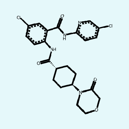 O=C(Nc1ccc(Cl)cn1)c1cc(Cl)ccc1NC(=O)[C@H]1CC[C@H](N2CCOCC2=O)CC1